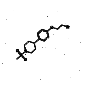 CS(=O)(=O)N1CCC(c2ccc(OCCBr)cc2)CC1